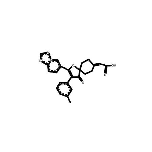 Cc1cccc(C2=C(c3ccc4ncnn4c3)OC3(CCC(=CC(=O)O)CC3)C2=O)c1